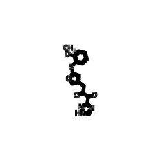 COc1ccccc1Sc1cc(CC(=O)C(=O)c2nc[nH]n2)co1